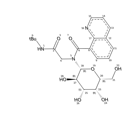 CC(C)(C)NC(=O)CN(C(=O)c1cccc2cccnc12)[C@@H]1O[C@H](CO)[C@H](O)[C@H](O)[C@H]1O